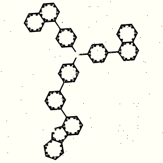 c1cc(-c2ccc(N(c3ccc(-c4cccc5ccccc45)cc3)c3ccc(-c4cccc5ccccc45)cc3)cc2)cc(-c2cccc3c2sc2ccccc23)c1